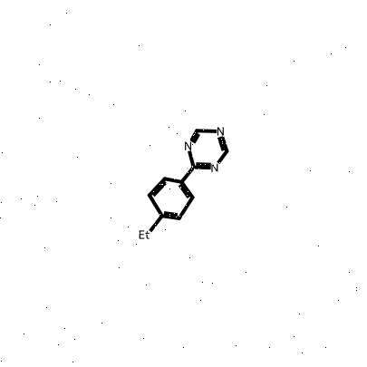 CCc1ccc(-c2ncncn2)cc1